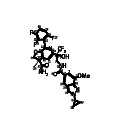 COc1cc(C(=O)NC[C@](O)(c2cc3c(c(-c4c(F)ccc(F)c4F)n2)OC[C@]3(C)C(N)=O)C(F)(F)F)cc2cn(C3CC3)nc12